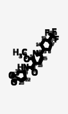 COc1nc(C2CCC(C(F)(F)F)CC2)ccc1C(=O)N[C@@H]1C=CS(=O)(=O)C1